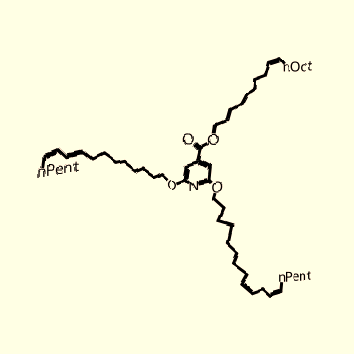 CCCCC/C=C\C=C\CCCCCCCCOc1cc(C(=O)OCCCCCCCC/C=C\CCCCCCCC)cc(OCCCCCCCC/C=C\C/C=C\CCCCC)n1